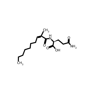 CCCCCCCC=C(C)C(=O)N[C@@H](CCC(N)=O)C(=O)O